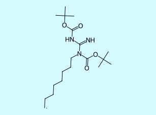 [CH2]CCCCCCCN(C(=N)NC(=O)OC(C)(C)C)C(=O)OC(C)(C)C